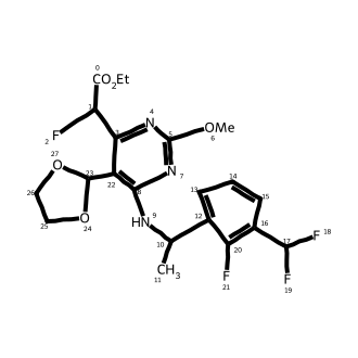 CCOC(=O)C(F)c1nc(OC)nc(NC(C)c2cccc(C(F)F)c2F)c1C1OCCO1